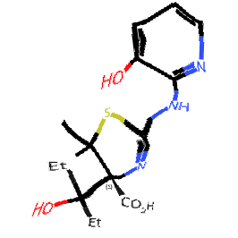 CCC(O)(CC)[C@@]1(C(=O)O)N=C(Nc2ncccc2O)SC1(C)C